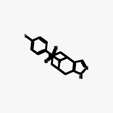 O=S(=O)(c1ccc(I)cc1)N1C2CNCC1c1cn[nH]c1C2